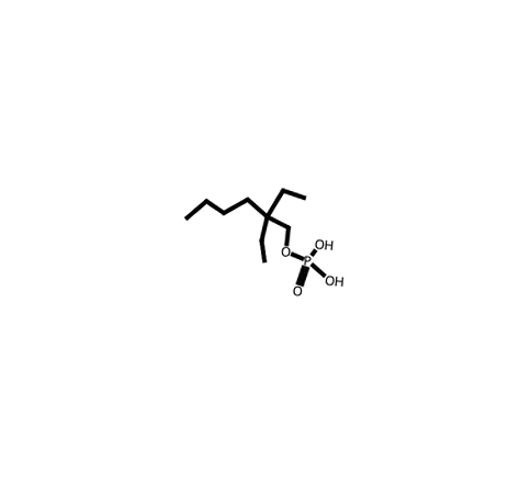 CCCCC(CC)(CC)COP(=O)(O)O